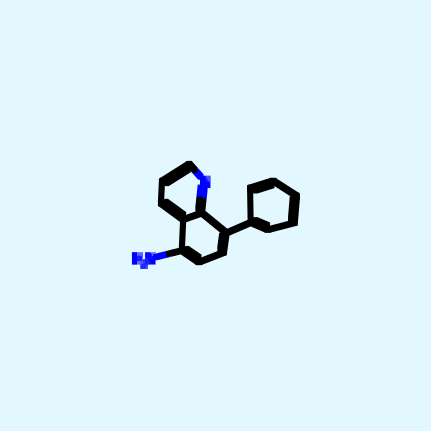 Nc1ccc(-c2ccccc2)c2ncccc12